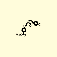 COC(=O)c1ccc(OCCN2CCN(c3ccc(Cl)cc3)C2=O)cc1